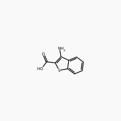 Nc1c(C(=O)O)sc2ccccc12